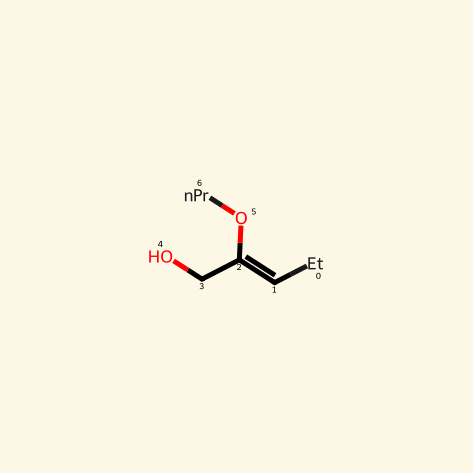 CCC=C(CO)OCCC